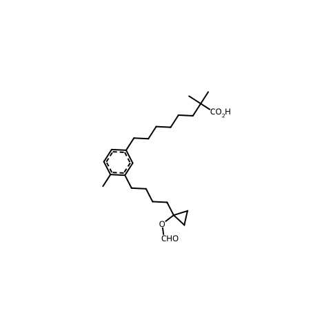 Cc1ccc(CCCCCCC(C)(C)C(=O)O)cc1CCCCC1(OC=O)CC1